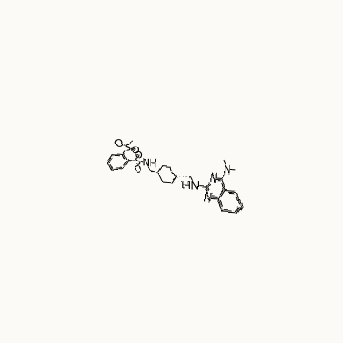 CN(C)c1nc(NC[C@H]2CC[C@H](CNS(=O)(=O)c3ccccc3S(C)(=O)=O)CC2)nc2ccccc12